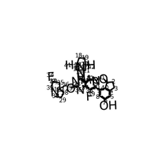 COC1CCc2cc(O)cc(-c3ncc4c(N5C[C@H]6CC[C@@H](C5)N6)nc(OC[C@@]56CCCN5C[C@H](F)C6)nc4c3F)c21